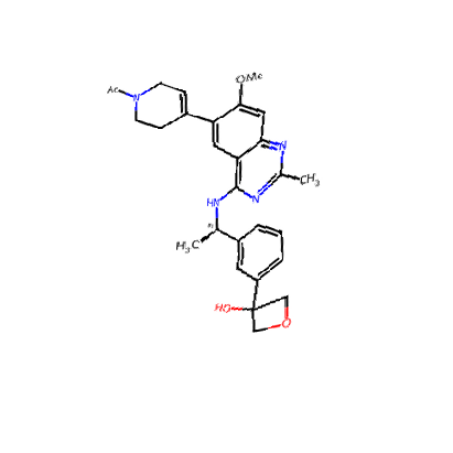 COc1cc2nc(C)nc(N[C@H](C)c3cccc(C4(O)COC4)c3)c2cc1C1=CCN(C(C)=O)CC1